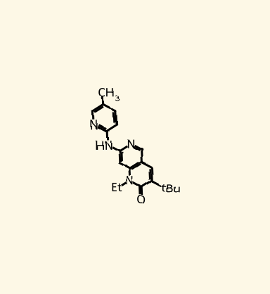 CCn1c(=O)c(C(C)(C)C)cc2cnc(Nc3ccc(C)cn3)cc21